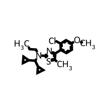 CCCN(c1nc(-c2ccc(OC)cc2Cl)c(C)s1)C(C1CC1)C1CC1